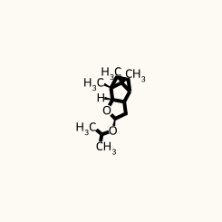 CC(C)O[C@@H]1CC2C3CC[C@@](C)([C@H]2O1)C3(C)C